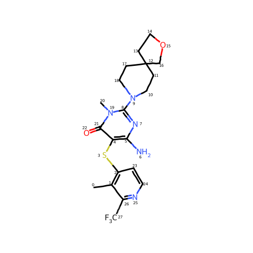 Cc1c(Sc2c(N)nc(N3CCC4(CCOC4)CC3)n(C)c2=O)ccnc1C(F)(F)F